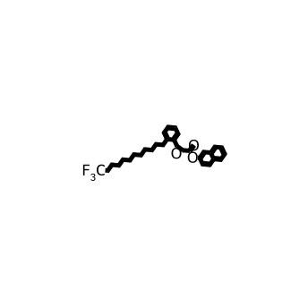 O=C(Oc1ccc2ccccc2c1)C1OC1c1ccccc1CCCCCCCCCCCC(F)(F)F